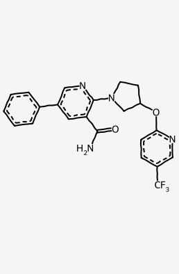 NC(=O)c1cc(-c2ccccc2)cnc1N1CCC(Oc2ccc(C(F)(F)F)cn2)C1